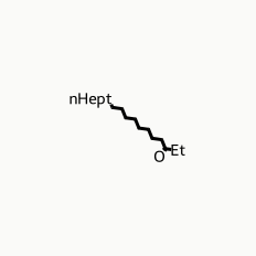 [CH2]CC(=O)CCCCCCCCCCCCCCC